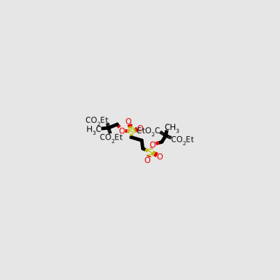 CCOC(=O)C(C)(COS(=O)(=O)CCCS(=O)(=O)OCC(C)(C(=O)OCC)C(=O)OCC)C(=O)OCC